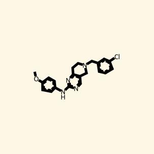 COc1ccc(Nc2ncc3c(n2)CCN(Cc2cccc(Cl)c2)C3)cc1